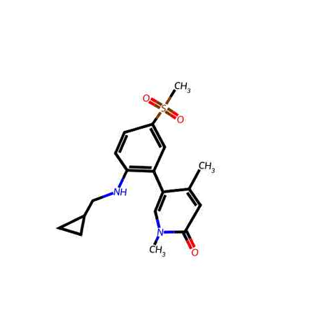 Cc1cc(=O)n(C)cc1-c1cc(S(C)(=O)=O)ccc1NCC1CC1